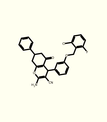 N#CC1=C(N)OC2=C(C(=O)CC(c3ccccc3)C2)C1c1cccc(OCc2c(F)cccc2Cl)c1